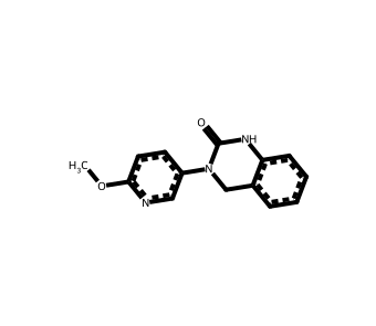 COc1ccc(N2Cc3ccccc3NC2=O)cn1